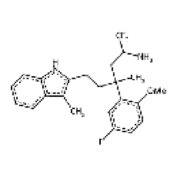 COc1ccc(F)cc1C(C)(CCc1[nH]c2ccccc2c1C)CC(N)C(F)(F)F